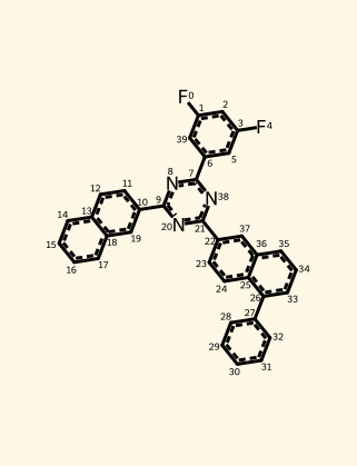 Fc1cc(F)cc(-c2nc(-c3ccc4ccccc4c3)nc(-c3ccc4c(-c5ccccc5)cccc4c3)n2)c1